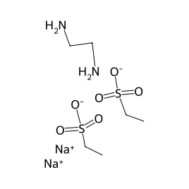 CCS(=O)(=O)[O-].CCS(=O)(=O)[O-].NCCN.[Na+].[Na+]